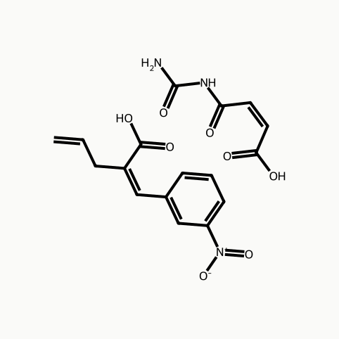 C=CCC(=Cc1cccc([N+](=O)[O-])c1)C(=O)O.NC(=O)NC(=O)/C=C\C(=O)O